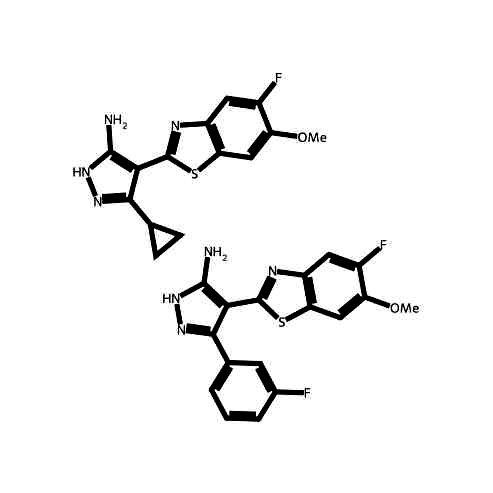 COc1cc2sc(-c3c(-c4cccc(F)c4)n[nH]c3N)nc2cc1F.COc1cc2sc(-c3c(C4CC4)n[nH]c3N)nc2cc1F